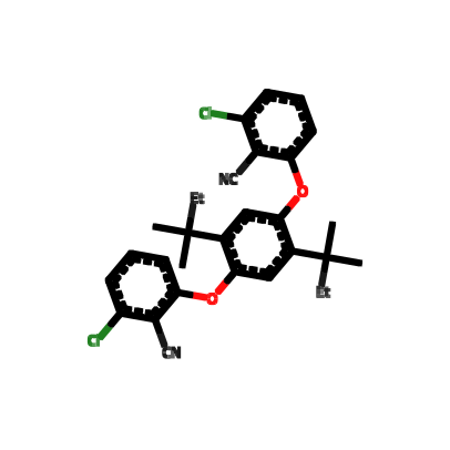 CCC(C)(C)c1cc(Oc2cccc(Cl)c2C#N)c(C(C)(C)CC)cc1Oc1cccc(Cl)c1C#N